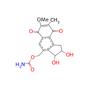 COC1=C(C)C(=O)c2c(cc(COC(N)=O)c3c2CC(O)C3O)C1=O